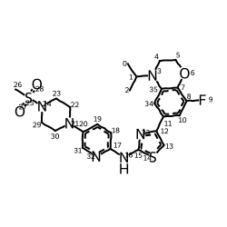 CC(C)N1CCOc2c(F)cc(-c3csc(Nc4ccc(N5CCN(S(C)(=O)=O)CC5)cn4)n3)cc21